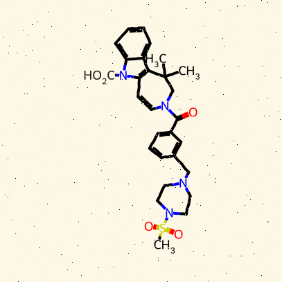 CC1(C)CN(C(=O)c2cccc(CN3CCN(S(C)(=O)=O)CC3)c2)C=Cc2c1c1ccccc1n2C(=O)O